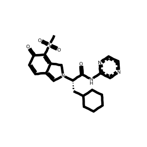 CS(=O)(=O)C1=C2CN([C@@H](CC3CCCCC3)C(=O)Nc3cnccn3)C=C2C=CC1=O